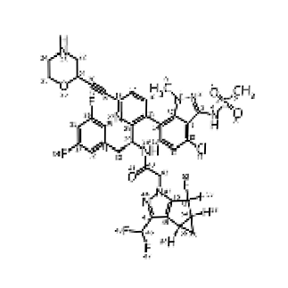 Cn1nc(NS(C)(=O)=O)c2c(Cl)ccc(-c3ccc(C#CC4CNCCO4)nc3[C@H](Cc3cc(F)cc(F)c3)NC(=O)Cn3nc(C(F)F)c4c3C(F)(F)[C@@H]3C[C@H]43)c21